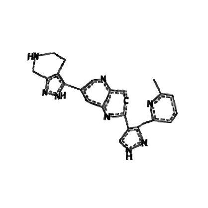 Cc1cccc(-c2n[nH]cc2-c2ccc3ncc(-c4[nH]nc5c4CCNC5)cc3n2)n1